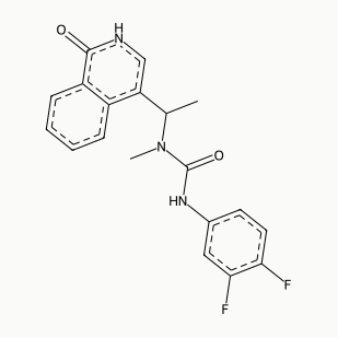 CC(c1c[nH]c(=O)c2ccccc12)N(C)C(=O)Nc1ccc(F)c(F)c1